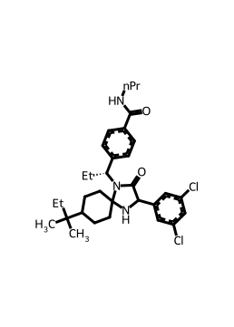 CCCNC(=O)c1ccc([C@@H](CC)N2C(=O)C(c3cc(Cl)cc(Cl)c3)NC23CCC(C(C)(C)CC)CC3)cc1